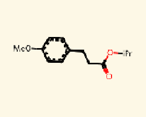 COc1ccc(CCC(=O)OC(C)C)cc1